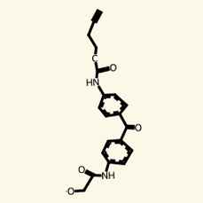 C#CCCCC(=O)Nc1ccc(C(=O)c2ccc(NC(=O)C[O])cc2)cc1